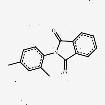 Cc1ccc(N2C(=O)c3ccccc3C2=O)c(C)c1